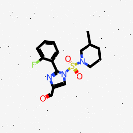 CC1CCCN(S(=O)(=O)n2cc(C=O)nc2-c2ccccc2F)C1